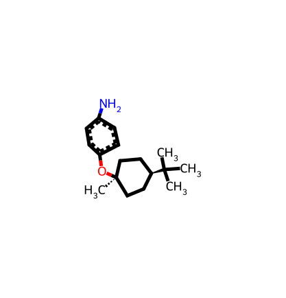 CC(C)(C)[C@H]1CC[C@@](C)(Oc2ccc(N)cc2)CC1